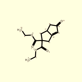 CCOC(=O)C1(C(=O)OCC)CC2=CC(=O)CC2C1